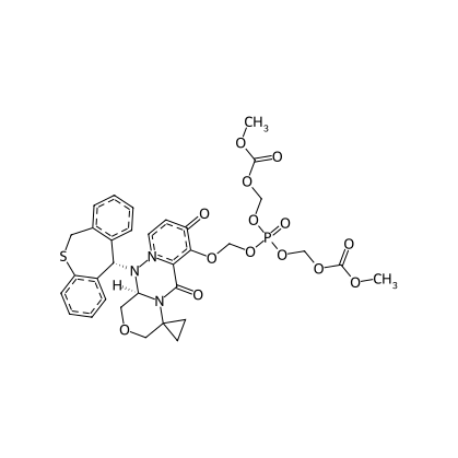 COC(=O)OCOP(=O)(OCOC(=O)OC)OCOc1c2n(ccc1=O)N([C@H]1c3ccccc3CSc3ccccc31)[C@@H]1COCC3(CC3)N1C2=O